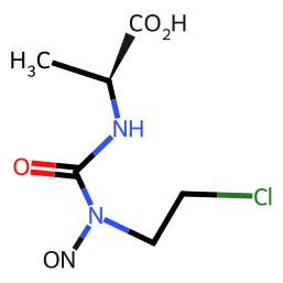 C[C@H](NC(=O)N(CCCl)N=O)C(=O)O